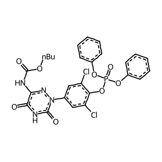 CCCCOC(=O)Nc1nn(-c2cc(Cl)c(OP(=O)(Oc3ccccc3)Oc3ccccc3)c(Cl)c2)c(=O)[nH]c1=O